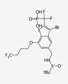 CC(C)(C)[S+]([O-])NCc1cc(OCCCC(F)(F)F)c2sc(C(F)(F)P(=O)(O)O)c(Br)c2c1